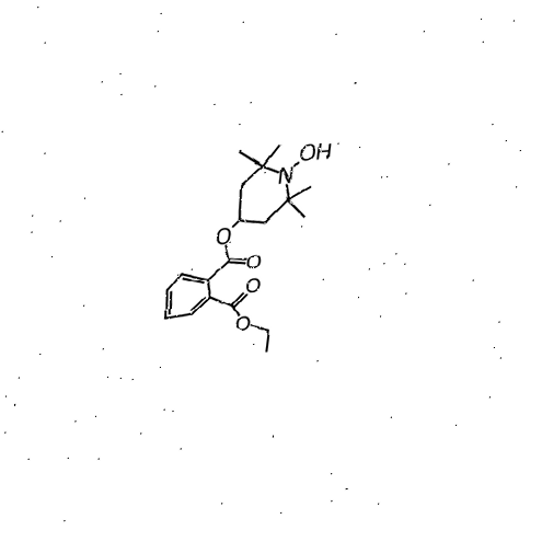 CCOC(=O)c1ccccc1C(=O)OC1CC(C)(C)N(O)C(C)(C)C1